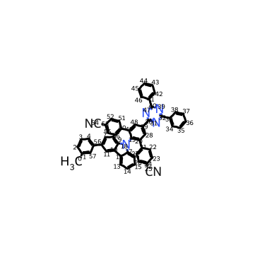 Cc1cccc(-c2ccc3c(c2)c2ccccc2n3-c2c(-c3ccc(C#N)cc3)cc(-c3nc(-c4ccccc4)nc(-c4ccccc4)n3)cc2-c2ccc(C#N)cc2)c1